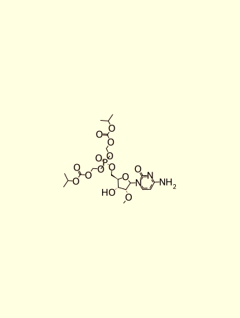 CO[C@H]1C(n2ccc(N)nc2=O)O[C@H](COP(=O)(OCOC(=O)OC(C)C)OCOC(=O)OC(C)C)[C@H]1O